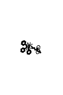 CCOC(=O)CCCSc1nc(-c2ccccc2)c(-c2ccccc2)n1-c1ccccc1